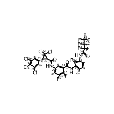 O=C(Nc1c(F)ccc(NC(=O)C(F)(F)C(F)(F)C(F)(F)F)c1F)c1cc(NC(=O)C2[C@H](c3cc(Cl)c(Cl)c(Cl)c3)C2(Cl)Cl)cc(F)c1F